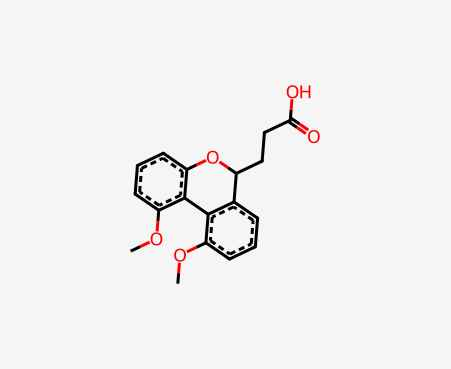 COc1cccc2c1-c1c(OC)cccc1C(CCC(=O)O)O2